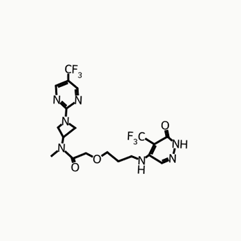 CN(C(=O)COCCCNc1cn[nH]c(=O)c1C(F)(F)F)C1CN(c2ncc(C(F)(F)F)cn2)C1